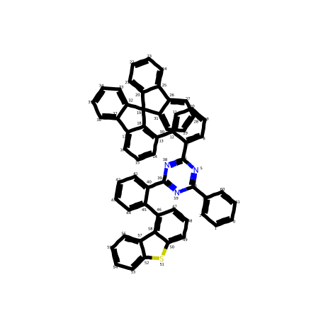 c1ccc(-c2nc(-c3ccccc3-c3cccc4c3C3(c5ccccc5-c5ccccc53)c3ccccc3-4)nc(-c3ccccc3-c3cccc4sc5ccccc5c34)n2)cc1